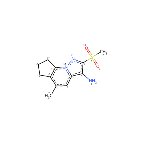 Cc1cc2c(N)c(S(C)(=O)=O)nn2c2c1CCC2